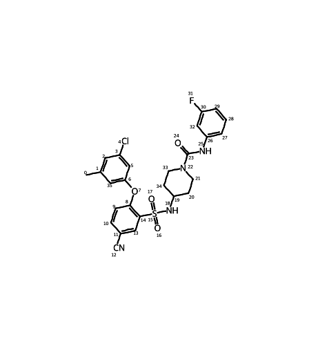 Cc1cc(Cl)cc(Oc2ccc(C#N)cc2S(=O)(=O)NC2CCN(C(=O)Nc3cccc(F)c3)CC2)c1